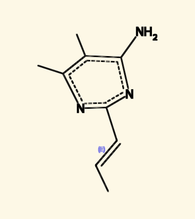 C/C=C/c1nc(C)c(C)c(N)n1